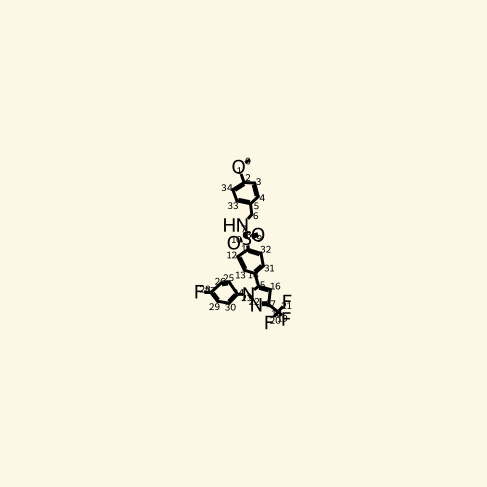 COc1ccc(CNS(=O)(=O)c2ccc(-c3cc(C(F)(F)F)nn3-c3ccc(F)cc3)cc2)cc1